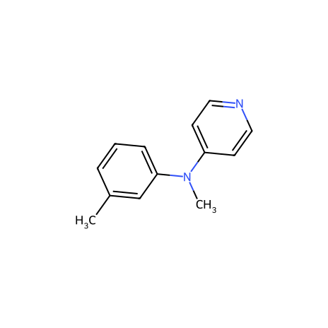 Cc1cccc(N(C)c2ccncc2)c1